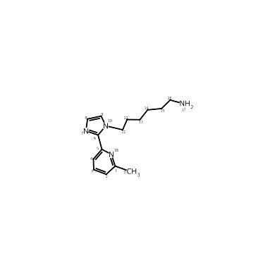 Cc1cccc(-c2nccn2CCCCCCN)n1